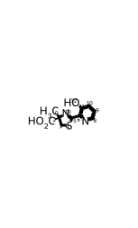 C[C@@]1(C(=O)O)CSC(c2ncccc2O)=N1